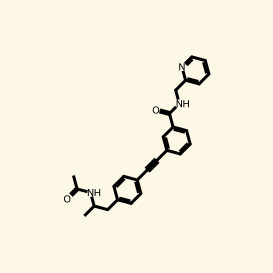 CC(=O)NC(C)Cc1ccc(C#Cc2cccc(C(=O)NCc3ccccn3)c2)cc1